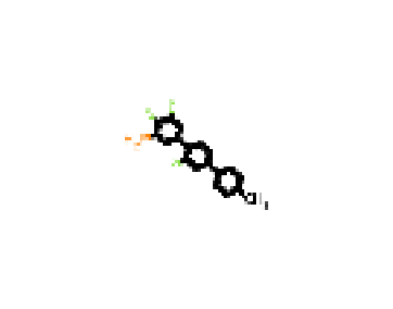 Cc1ccc(-c2ccc(-c3cc(F)c(F)c(P)c3)c(F)c2)cc1